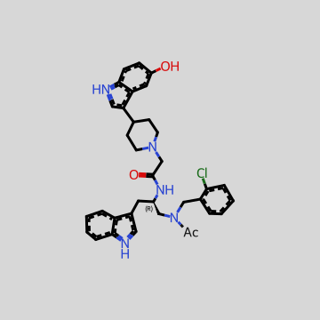 CC(=O)N(Cc1ccccc1Cl)C[C@@H](Cc1c[nH]c2ccccc12)NC(=O)CN1CCC(c2c[nH]c3ccc(O)cc23)CC1